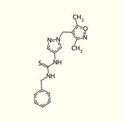 Cc1noc(C)c1Cn1cc(NC(=S)NCc2ccccc2)cn1